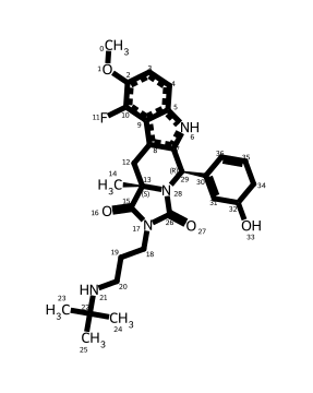 COc1ccc2[nH]c3c(c2c1F)C[C@@]1(C)C(=O)N(CCCNC(C)(C)C)C(=O)N1[C@@H]3C1=CC(O)CC=C1